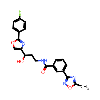 Cc1nc(-c2cccc(C(=O)NCCC(O)c3coc(-c4ccc(F)cc4)n3)c2)no1